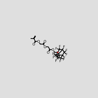 C=C(C)C(=O)OCC(=O)OCC(=O)OCC12C(F)(F)C3(F)C(F)(F)C(F)(C(F)(F)C(F)(C3(F)F)C1(F)F)C2(F)F